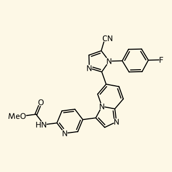 COC(=O)Nc1ccc(-c2cnc3ccc(-c4ncc(C#N)n4-c4ccc(F)cc4)cn23)cn1